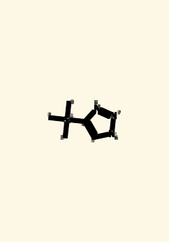 C[Si](C)(C)C1=C[N]N=N1